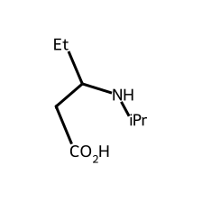 CCC(CC(=O)O)NC(C)C